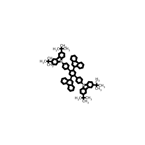 CC(C)(C)c1ccc2c(c1)c1cc(C(C)(C)C)ccc1n2-c1ccc(-c2cc(-c3cc4ccccc4c4ccccc34)c(-c3ccc(-n4c5ccc(C(C)(C)C)cc5c5cc(C(C)(C)C)ccc54)cc3)cc2-c2cc3ccccc3c3ccccc23)cc1